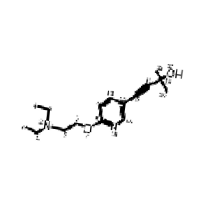 CCN(CC)CCOc1ccc(C#CC(C)(C)O)cn1